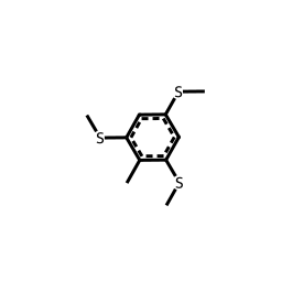 CSc1cc(SC)c(C)c(SC)c1